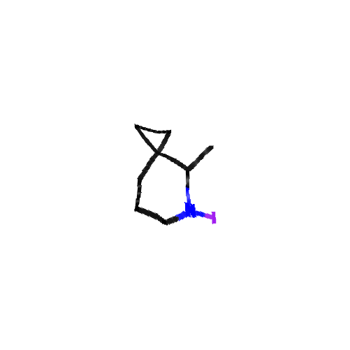 CC1N(I)CCCC12CC2